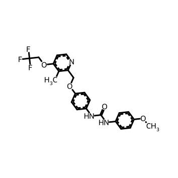 COc1ccc(NC(=O)Nc2ccc(OCc3nccc(OCC(F)(F)F)c3C)cc2)cc1